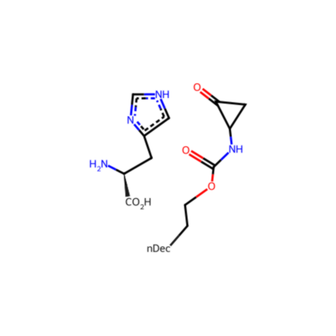 CCCCCCCCCCCCOC(=O)NC1CC1=O.N[C@@H](Cc1c[nH]cn1)C(=O)O